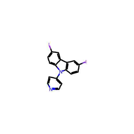 Ic1ccc2c(c1)c1cc(I)ccc1n2-c1ccncc1